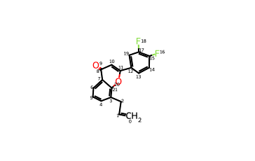 C=CCc1cccc2c(=O)cc(-c3ccc(F)c(F)c3)oc12